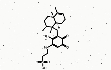 CC1=CCC[C@H]2[C@](C)(CC3=C(O)C(NCCS(=O)(=O)O)=CC(=O)C3=O)[C@@H](C)CC[C@]12C